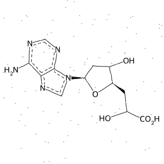 Nc1ncnc2c1ncn2[C@H]1CC(O)[C@@H](CC(O)C(=O)O)O1